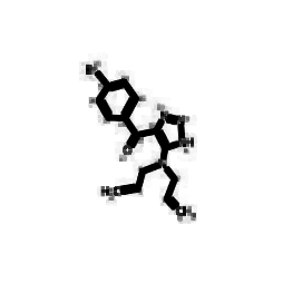 C=CCN(CC=C)c1[nH]nnc1C(=O)c1ccc(Br)cc1